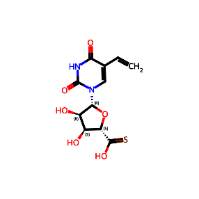 C=Cc1cn([C@@H]2O[C@H](C(O)=S)[C@@H](O)[C@H]2O)c(=O)[nH]c1=O